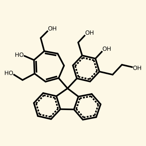 OCCc1cc(C2(C3=CC(CO)=C(O)C(CO)=CC3)c3ccccc3-c3ccccc32)cc(CO)c1O